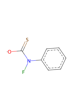 [O]C(=S)N(F)c1ccccc1